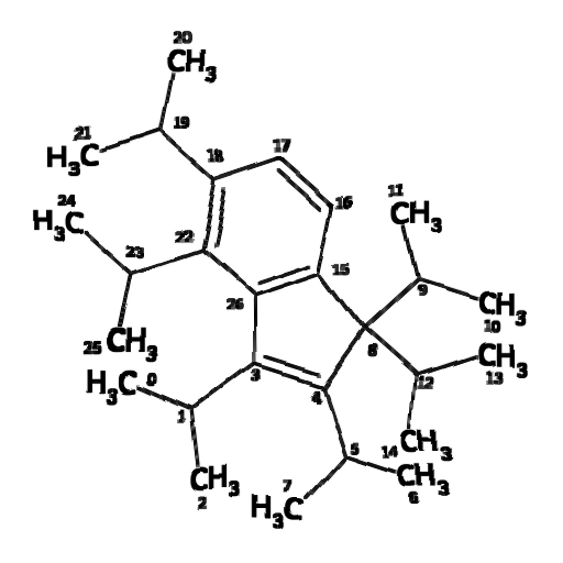 CC(C)C1=C(C(C)C)C(C(C)C)(C(C)C)c2ccc(C(C)C)c(C(C)C)c21